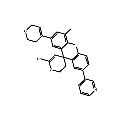 NC1=NC2(CCO1)c1cc(-c3cccnc3)ccc1Oc1c(F)cc(C3=CCOCC3)cc12